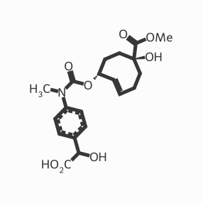 COC(=O)[C@]1(O)CC/C=C/[C@H](OC(=O)N(C)c2ccc(C(O)C(=O)O)cc2)CC1